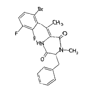 CC(=C1NC(=O)C(Cc2ccccc2)N(C)C1=O)c1c(Br)ccc(F)c1F